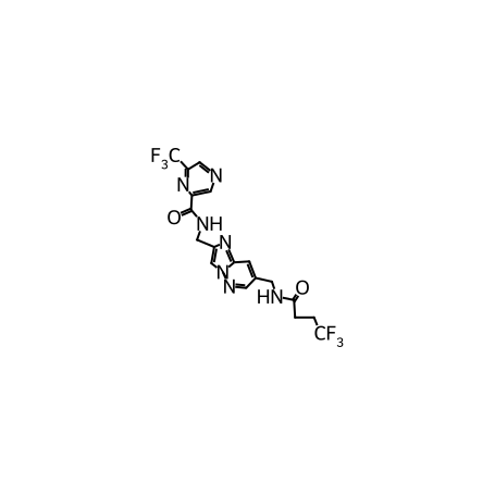 O=C(CCC(F)(F)F)NCc1cnn2cc(CNC(=O)c3cncc(C(F)(F)F)n3)nc2c1